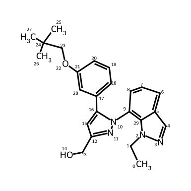 CCn1ncc2cccc(-n3nc(CO)cc3-c3cccc(OCC(C)(C)C)c3)c21